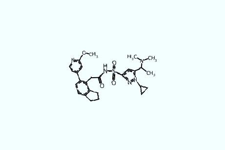 COc1cc(-c2ccc3c(c2CC(=O)NS(=O)(=O)c2cc(C(C)N(C)C)n(C4CC4)n2)CCC3)ccn1